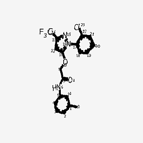 Cc1cccc(NC(=O)COc2cc(C(F)(F)F)nn2-c2ccccc2Cl)c1